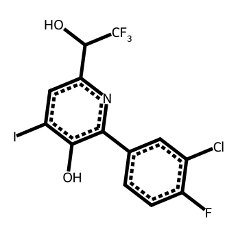 Oc1c(I)cc(C(O)C(F)(F)F)nc1-c1ccc(F)c(Cl)c1